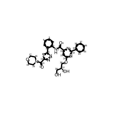 O=C(Nc1ccccc1-c1nnc(C(=O)N2CCOCC2)s1)c1cc(OC[C@@H](O)CO)nc(-c2ccccc2)n1